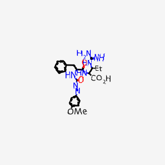 CCC(NC(=N)N)C(NC(=O)C(Cc1ccccc1)NC(=O)/N=N/c1ccc(OC)cc1)C(=O)O